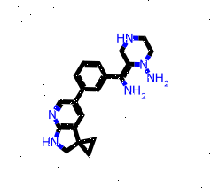 N/C(=C1/CNCCN1N)c1cccc(-c2cnc3c(c2)C2(CC2)CN3)c1